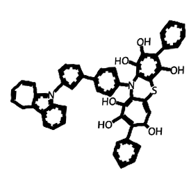 OC1=C(c2ccccc2)C(O)C=C2Sc3c(O)c(-c4ccccc4)c(O)c(O)c3N(c3ccc(-c4cccc(-n5c6c(c7ccccc75)CC=CC=C6)c4)cc3)C2=C1O